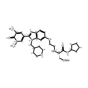 COC[C@H](NCCOc1ccc2nc(-c3cc(C)c(=O)n(C)c3)n(CC3CCOCC3)c2c1)C(=O)OC1CCCC1